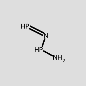 NPN=P